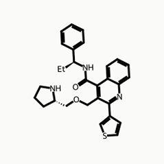 CC[C@H](NC(=O)c1c(COC[C@@H]2CCCN2)c(-c2ccsc2)nc2ccccc12)c1ccccc1